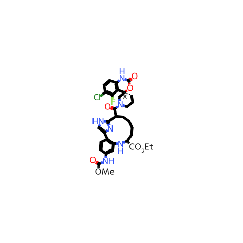 CCOC(=O)C1CCCCC(C(=O)N2CCC[C@@]3(C2)OC(=O)Nc2ccc(Cl)c(F)c23)c2nc(c[nH]2)-c2ccc(NC(=O)OC)cc2N1